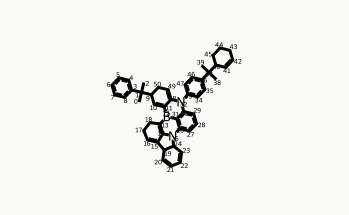 CC(C)(c1ccccc1)C1C=C2B3C4=C5C(=CCC4)C4C=CC=CC4N5c4cccc(c43)N(c3ccc(C(C)(C)C4C=CCCC4)cc3)C2=CC1